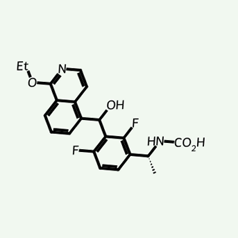 CCOc1nccc2c(C(O)c3c(F)ccc([C@@H](C)NC(=O)O)c3F)cccc12